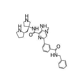 Nc1ncc(-c2cccc(C(=O)NCc3ccccc3)c2)nc1C(=O)N[C@]1(C[C@H]2CCCN2)CCNC1